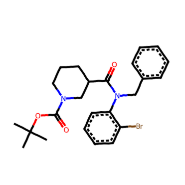 CC(C)(C)OC(=O)N1CCCC(C(=O)N(Cc2ccccc2)c2ccccc2Br)C1